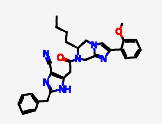 CCCCC1Cn2cc(-c3ccccc3OC)nc2CN1C(=O)Cc1[nH]c(Cc2ccccc2)nc1C#N